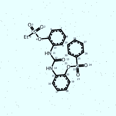 CCS(=O)(=O)Oc1ccccc1NC(=O)Nc1ccccc1OS(=O)(=O)c1ccccc1